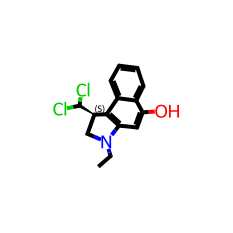 CCN1C[C@@H](C(Cl)Cl)c2c1cc(O)c1ccccc21